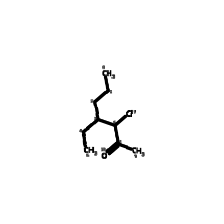 CCCC(CC)C(Cl)C(C)=O